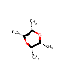 C[C@@H]1O[C@H](C)[C@H](C)O[C@@H]1C